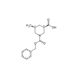 C[C@H]1C[C@@H](C(=O)O)CN(C(=O)OCc2ccccc2)C1